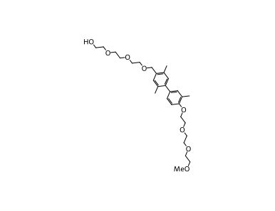 COCCOCCOCCOc1ccc(-c2cc(C)c(COCCOCCOCCO)cc2C)cc1C